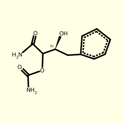 NC(=O)OC(C(N)=O)[C@@H](O)Cc1ccccc1